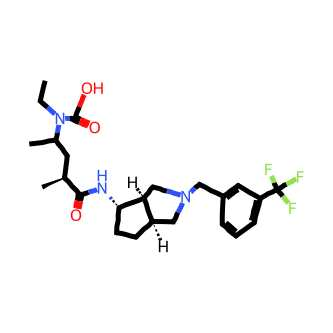 CCN(C(=O)O)C(C)C[C@H](C)C(=O)N[C@H]1CC[C@@H]2CN(Cc3cccc(C(F)(F)F)c3)C[C@@H]21